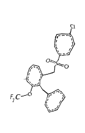 O=S(=O)(Cc1cc[c]c(OC(F)(F)F)c1-c1ccccc1)c1ccc(Cl)cc1